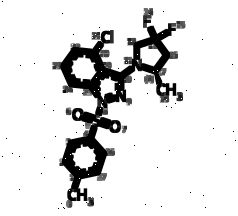 Cc1ccc(S(=O)(=O)n2nc(N3CC(F)(F)C[C@H]3C)c3c(Cl)cccc32)cc1